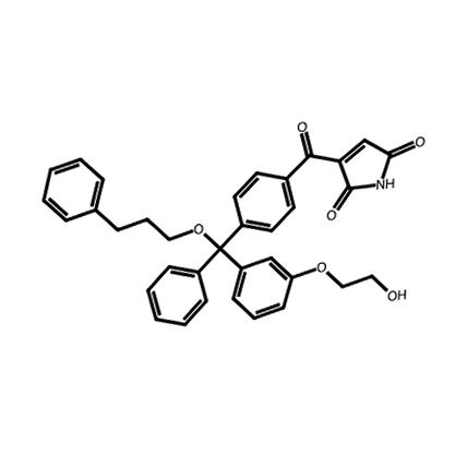 O=C1C=C(C(=O)c2ccc(C(OCCCc3ccccc3)(c3ccccc3)c3cccc(OCCO)c3)cc2)C(=O)N1